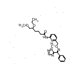 CCOC(CCCC(=O)Nc1cccc(CO/N=C(/c2ccccc2)c2nnnn2C)n1)COC